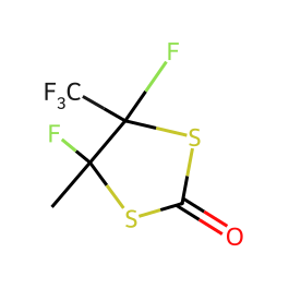 CC1(F)SC(=O)SC1(F)C(F)(F)F